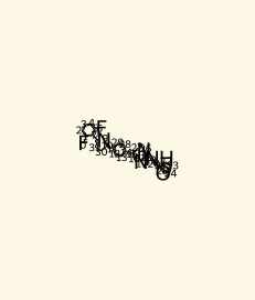 Fc1cccc(F)c1C1=NC(c2ccc(-c3cnc(NCc4ccco4)nc3)cc2)CC1